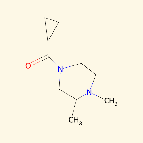 CC1CN(C(=O)C2CC2)CCN1C